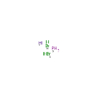 Br.Br.I.P